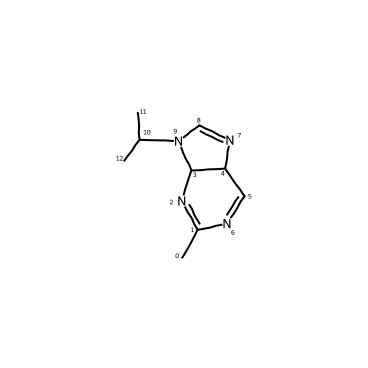 CC1=NC2C(C=N1)N=CN2C(C)C